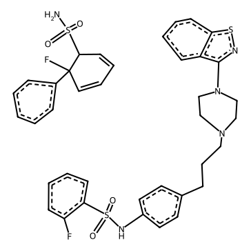 NS(=O)(=O)C1C=CC=CC1(F)c1ccccc1.O=S(=O)(Nc1ccc(CCCN2CCN(c3nsc4ccccc34)CC2)cc1)c1ccccc1F